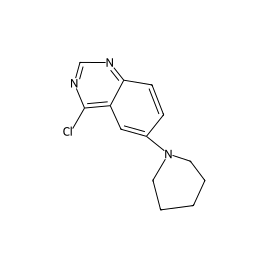 Clc1ncnc2ccc(N3CCCCC3)cc12